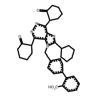 O=C(O)c1ccccc1-c1ccc(Cn2c(C3CCCCC3)nc3c(C4CCCCC4=O)nnc(C4CCCCC4=O)c32)cc1